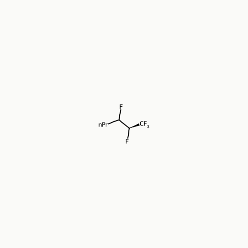 [CH2]CCC(F)[C@H](F)C(F)(F)F